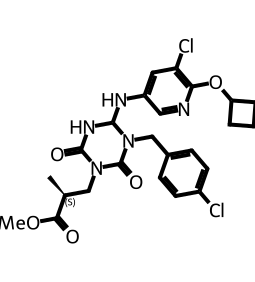 COC(=O)[C@@H](C)CN1C(=O)NC(Nc2cnc(OC3CCC3)c(Cl)c2)N(Cc2ccc(Cl)cc2)C1=O